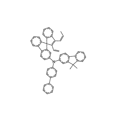 C=CC1=C(/C=C\C)c2ccccc2C12c1ccccc1-c1ccc(N(c3ccc(-c4ccccc4)cc3)c3ccc4c(c3)C(C)(C)c3ccccc3-4)cc12